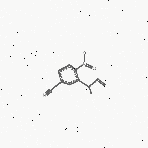 [CH2]C(C=C)c1cc(C#N)ccc1[N+](=O)[O-]